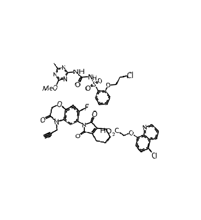 C#CCN1C(=O)COc2cc(F)c(N3C(=O)C4=C(CCCC4)C3=O)cc21.COc1nc(C)nc(NC(=O)NS(=O)(=O)c2ccccc2OCCCl)n1.O=C(O)COc1ccc(Cl)c2cccnc12